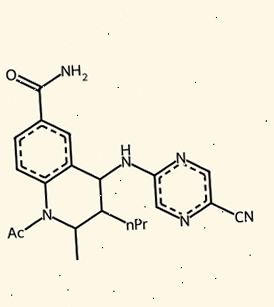 CCCC1C(Nc2cnc(C#N)cn2)c2cc(C(N)=O)ccc2N(C(C)=O)C1C